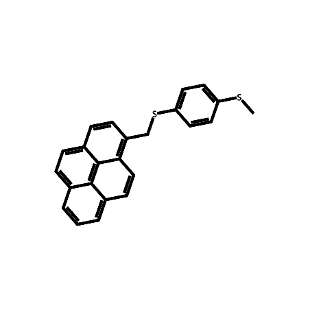 CSc1ccc(SCc2ccc3ccc4cccc5ccc2c3c45)cc1